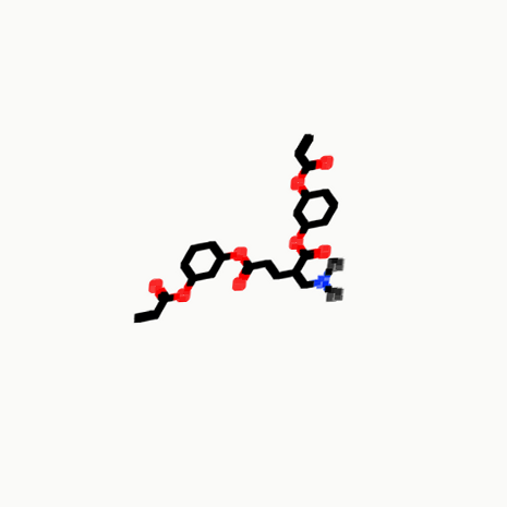 C=CC(=O)OC1CCCC(OC(=O)CCC(CN(CC)CC)C(=O)OC2CCCC(OC(=O)C=C)C2)C1